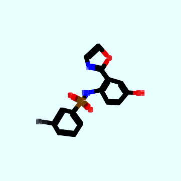 CC(C)c1cccc(S(=O)(=O)Nc2ccc(O)cc2-c2ncco2)c1